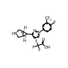 Fc1ccc(-n2ccc(C3[C@H]4CNC[C@@H]34)n2)cc1C(F)(F)F.O=C(O)C(F)(F)F